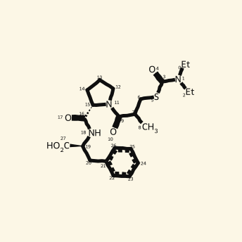 CCN(CC)C(=O)SCC(C)C(=O)N1CCC[C@H]1C(=O)N[C@@H](Cc1ccccc1)C(=O)O